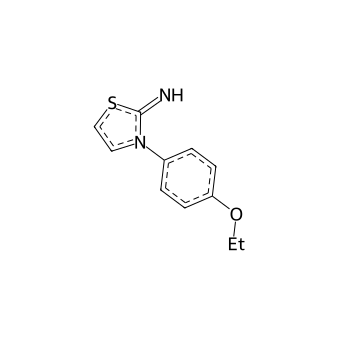 CCOc1ccc(-n2ccsc2=N)cc1